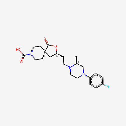 C[C@H]1CN(c2ccc(F)cc2)CCN1CC[C@H]1CC2(CCN(C(=O)O)CC2)C(=O)O1